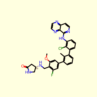 COc1cc(-c2cccc(-c3cccc(Nc4nccc5nccnc45)c3Cl)c2C)cc(F)c1CN[C@@H]1CNC(=O)C1